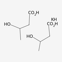 CC(O)CC(=O)O.CC(O)CC(=O)O.[KH]